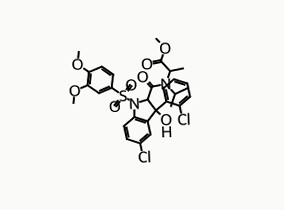 COC(=O)C(C)N(C(=O)C1N(S(=O)(=O)c2ccc(OC)c(OC)c2)c2ccc(Cl)cc2C1(O)c1ccccc1Cl)C(C)C